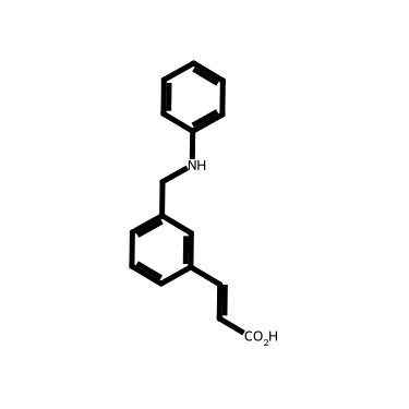 O=C(O)C=Cc1cccc(CNc2ccccc2)c1